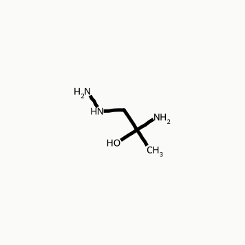 CC(N)(O)CNN